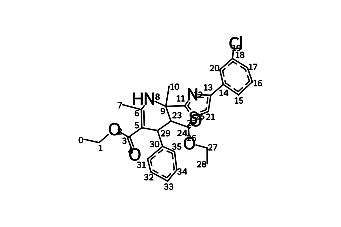 CCOC(=O)C1=C(C)NC(C)(c2nc(-c3cccc(Cl)c3)cs2)C(C(=O)OCC)C1c1ccccc1